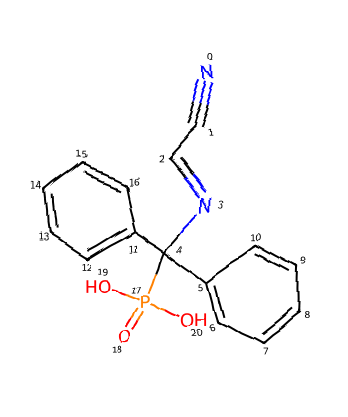 N#C/C=N/C(c1ccccc1)(c1ccccc1)P(=O)(O)O